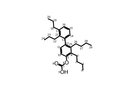 CCCCc1c(OC(=O)O)ccc(-c2cccc(CCC)c2CCC)c1CCCC